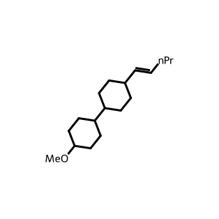 CCCC=CC1CCC(C2CCC(OC)CC2)CC1